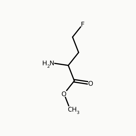 COC(=O)C(N)CCF